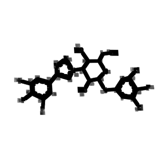 OCC1OC(Sc2cc(Cl)c(F)c(Cl)c2)C(O)C(n2cc(-c3cc(F)c(F)c(F)c3)nn2)C1O